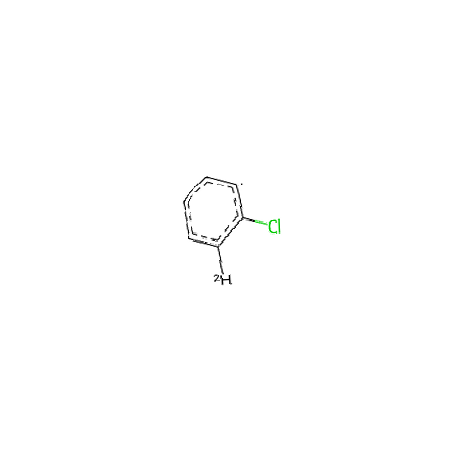 [2H]c1ccc[c]c1Cl